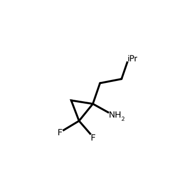 CC(C)CCC1(N)CC1(F)F